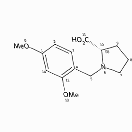 COc1ccc(CN2CCC[C@H]2C(=O)O)c(OC)c1